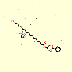 CC(C)(C)[Si](C)(C)OC(CCCCCCO)CCCCCCCCC(=O)OC1COC(c2ccccc2)OC1